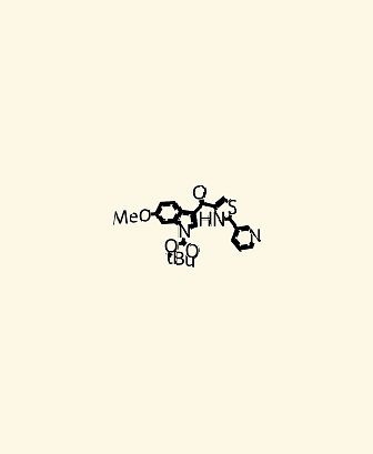 COc1ccc2c(C(=O)C3=CSC(c4cccnc4)N3)cn(C(=O)OC(C)(C)C)c2c1